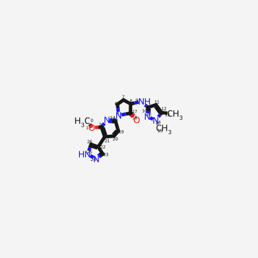 COc1nc(N2CCC(Nc3cc(C)n(C)n3)C2=O)ccc1-c1cn[nH]c1